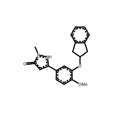 COc1ccc(-c2cc(=O)n(C)[nH]2)cc1OC1Cc2ccccc2C1